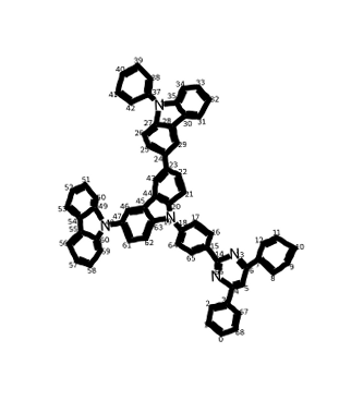 c1ccc(-c2cc(-c3ccccc3)nc(-c3ccc(-n4c5ccc(-c6ccc7c(c6)c6ccccc6n7-c6ccccc6)cc5c5cc(-n6c7ccccc7c7ccccc76)ccc54)cc3)n2)cc1